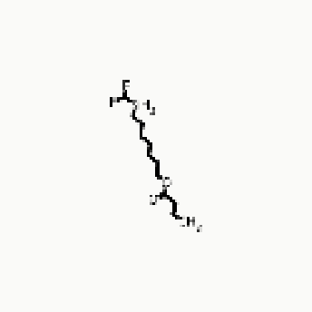 CC=CC(=O)OCCCCCCC[SiH2]C(F)F